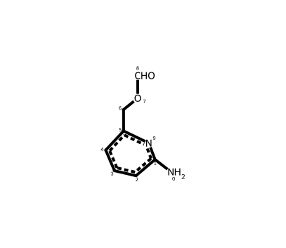 Nc1cccc(COC=O)n1